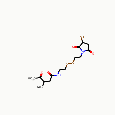 CSC(CC(=O)NCCSSCCN1C(=O)CC(S)C1=O)C(=O)C(=O)O